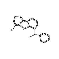 CC(C)(C)c1cccc2c1oc1c(N(I)c3ccccc3)cccc12